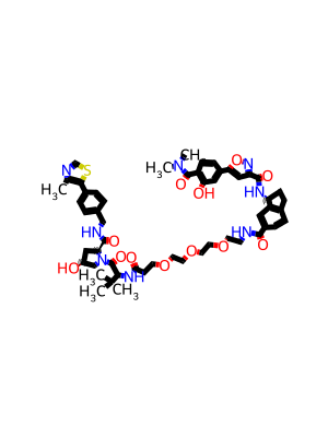 Cc1ncsc1-c1ccc(CNC(=O)[C@@H]2C[C@@H](O)CN2C(=O)C(NC(=O)CCOCCOCCOCCNC(=O)c2ccc3c(c2)[C@H](NC(=O)c2cc(-c4ccc(C(=O)N(C)C)c(O)c4)on2)CC3)C(C)(C)C)cc1